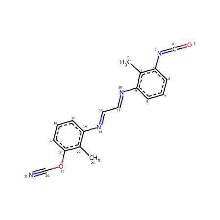 Cc1c(N=C=O)cccc1N=CC=Nc1cccc(OC#N)c1C